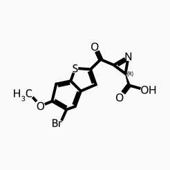 COc1cc2sc(C(=O)C3=N[C@H]3C(=O)O)cc2cc1Br